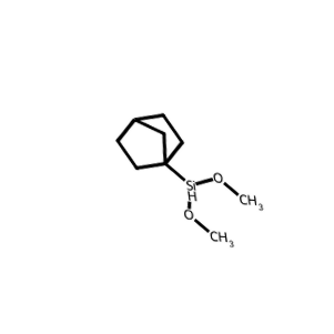 CO[SiH](OC)C12CCC(CC1)C2